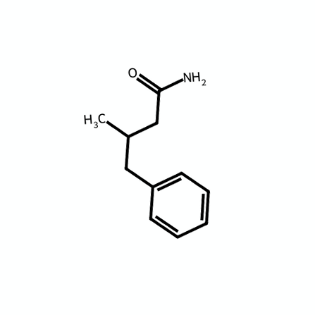 CC(CC(N)=O)Cc1ccccc1